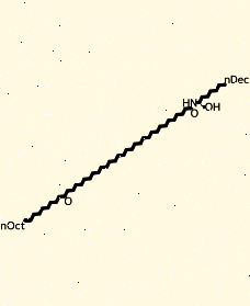 CCCCCCCCC=CCCCCCCCC(=O)CCCCCCCCCCCCCCCCCCCCCCCCCCCCCC(=O)N[C@@H](CO)CCCCCCCCCCCCCCCC